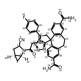 N#CC1C[C@@H]2C[C@@H]2N1C(=O)CN[C@H](CC1(c2nnn[nH]2)c2ccc(C(N)=O)cc2CCc2cc(C(N)=O)ccc21)c1ccc(F)cc1